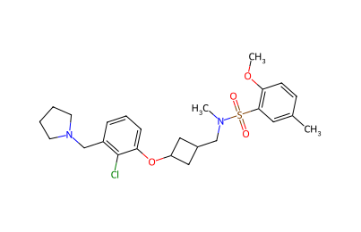 COc1ccc(C)cc1S(=O)(=O)N(C)CC1CC(Oc2cccc(CN3CCCC3)c2Cl)C1